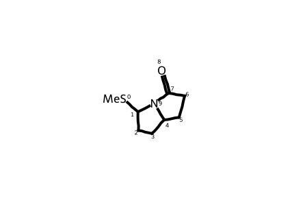 CSC1CCC2CCC(=O)N21